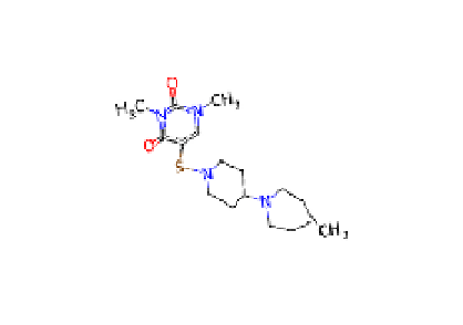 CC1CCN(C2CCN(Sc3cn(C)c(=O)n(C)c3=O)CC2)CC1